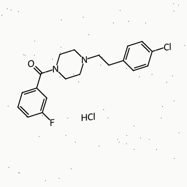 Cl.O=C(c1cccc(F)c1)N1CCN(CCc2ccc(Cl)cc2)CC1